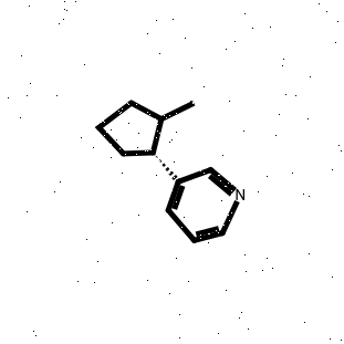 CC1CCC[C@H]1c1cccnc1